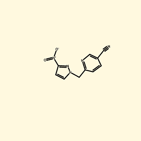 N#Cc1ccc(Cn2ccc([N+](=O)[O-])n2)nc1